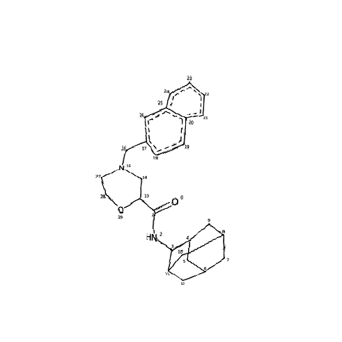 O=C(NC1C2CC3CC(C2)CC1C3)C1CN(Cc2ccc3ccccc3c2)CCO1